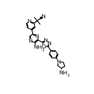 CC(C)(C#N)c1cc(-c2cnc(N)c(-c3nnc(-c4ccc(N5CC[C@H](N)C5)cc4)o3)n2)ccn1